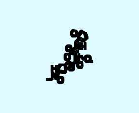 CCNC(=O)c1ccc2c3c(oc2c1)C(=O)N(CCOC)C(C)(C(=O)NCc1ccccc1OC)CO3